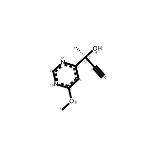 C#C[C@](C)(O)c1cc(OC)ncn1